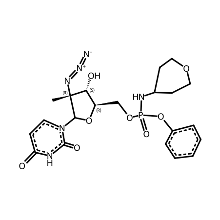 C[C@]1(N=[N+]=[N-])C(n2ccc(=O)[nH]c2=O)O[C@H](COP(=O)(NC2CCOCC2)Oc2ccccc2)[C@H]1O